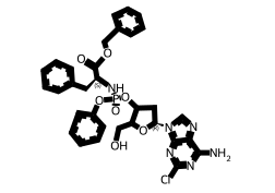 Nc1nc(Cl)nc2c1ncn2[C@H]1CC(OP(=O)(N[C@@H](Cc2ccccc2)C(=O)OCc2ccccc2)Oc2ccccc2)C(CO)O1